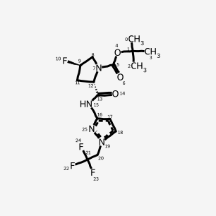 CC(C)(C)OC(=O)N1C[C@H](F)C[C@H]1C(=O)Nc1ccn(CC(F)(F)F)n1